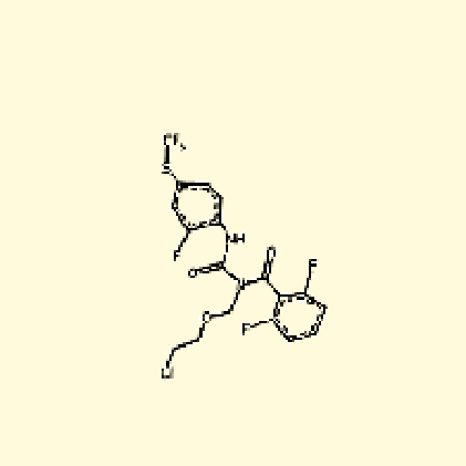 O=C(Nc1ccc(SC(F)(F)F)cc1F)N(COCCCl)C(=O)c1c(F)cccc1F